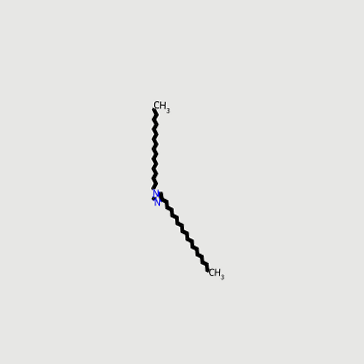 CCCCCCCCCCCCCCCCCCCc1cn(CCCCCCCCCCCCCCCCCC)cn1